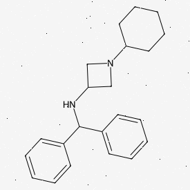 c1ccc(C(NC2CN(C3CCCCC3)C2)c2ccccc2)cc1